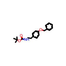 CC(C)(C)OC(=O)NCCc1ccc(OCc2ccccc2)cc1